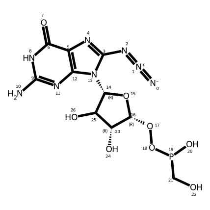 [N-]=[N+]=Nc1nc2c(=O)[nH]c(N)nc2n1[C@@H]1O[C@H](OOP(O)CO)[C@H](O)C1O